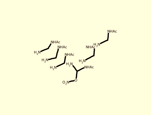 CC(=O)NC(N)O[N+](=O)[O-].CC(=O)NCN.CC(=O)NCN.CC(=O)NCN.CC(=O)NCN.CC(=O)NCN